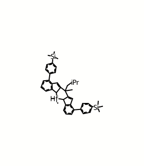 CC(C)CC1(C)C2=Cc3c(-c4ccc([Si](C)(C)C)cc4)cccc3[CH]2[Hf]([CH3])([CH3])[CH]2C1=Cc1c(-c3ccc([Si](C)(C)C)cc3)cccc12